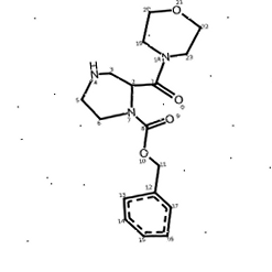 O=C(C1CNCCN1C(=O)OCc1ccccc1)N1CCOCC1